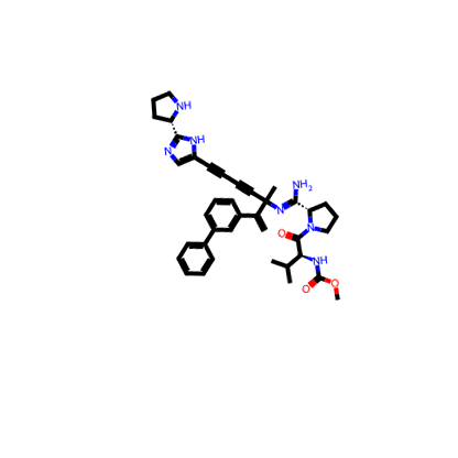 C=C(c1cccc(-c2ccccc2)c1)C(C)(C#CC#Cc1cnc([C@@H]2CCCN2)[nH]1)/N=C(\N)[C@@H]1CCCN1C(=O)[C@@H](NC(=O)OC)C(C)C